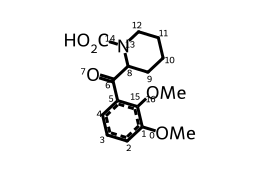 COc1cccc(C(=O)C2CCCCN2C(=O)O)c1OC